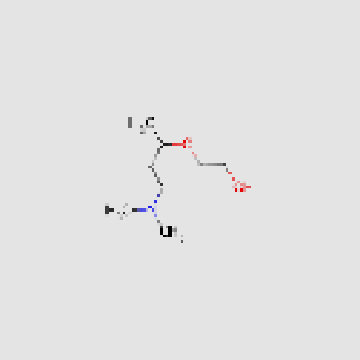 CC(CCN(C)C)OCCO